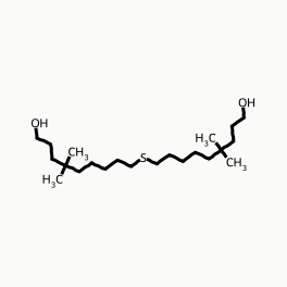 CC(C)(CCCO)CCCCCSCCCCCC(C)(C)CCCO